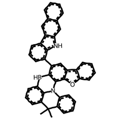 CC1(C)c2ccccc2N2c3c(cccc31)Bc1c(-c3cccc4c3[nH]c3cc5ccccc5cc34)cc3c(oc4ccccc43)c12